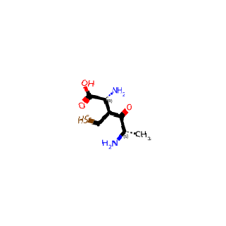 C[C@H](N)C(=O)C(CS)[C@@H](N)C(=O)O